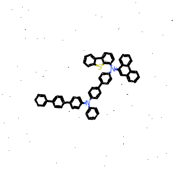 C1=CC(c2ccc(-c3ccc(N(c4ccccc4)c4ccc(-c5ccc(N(c6cc7ccccc7c7ccccc67)c6cccc7c6sc6ccccc67)cc5)cc4)cc3)cc2)=CCC1